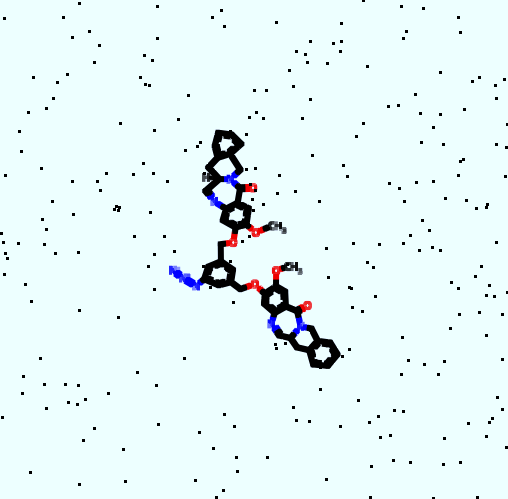 COc1cc2c(cc1OCc1cc(COc3cc4c(cc3OC)C(=O)N3Cc5ccccc5C[C@H]3C=N4)cc(N=[N+]=[N-])c1)N=CC1Cc3ccccc3CN1C2=O